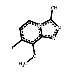 COc1c(I)ccn2c(C)nnc12